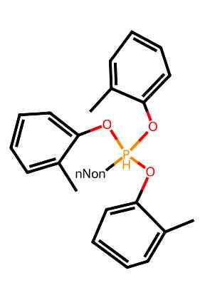 CCCCCCCCC[PH](Oc1ccccc1C)(Oc1ccccc1C)Oc1ccccc1C